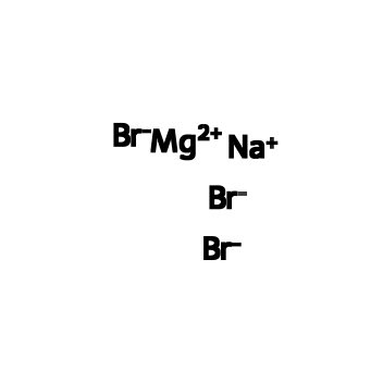 [Br-].[Br-].[Br-].[Mg+2].[Na+]